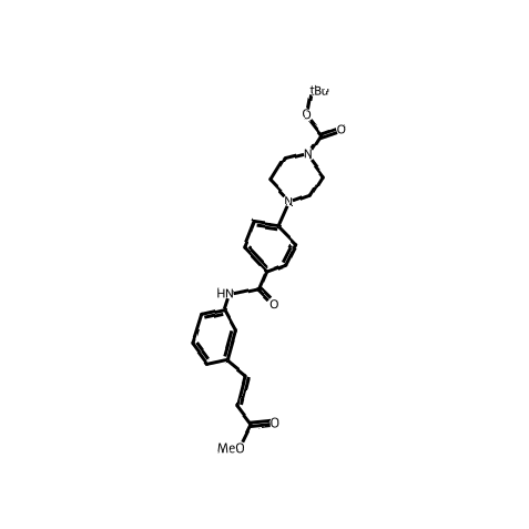 COC(=O)C=Cc1cccc(NC(=O)c2ccc(N3CCN(C(=O)OC(C)(C)C)CC3)cc2)c1